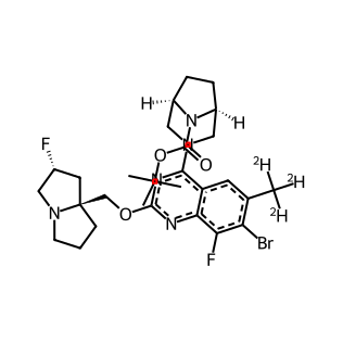 [2H]C([2H])([2H])c1cc2c(N3C[C@H]4CC[C@@H](C3)N4C(=O)OC(C)(C)C)nc(OC[C@@]34CCCN3C[C@H](F)C4)nc2c(F)c1Br